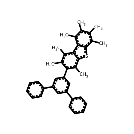 Cc1c(C)c(C)c2c(sc3c(C)c(-c4cc(-c5ccccc5)cc(-c5ccccc5)c4)c(C)c(C)c32)c1C